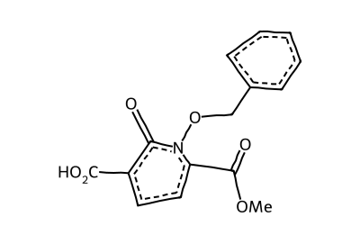 COC(=O)c1ccc(C(=O)O)c(=O)n1OCc1ccccc1